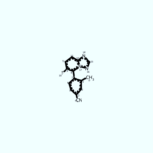 Cc1cc(C#N)ccc1-c1c(F)ccc2ncnn12